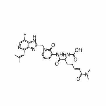 CC(C)=Cc1ncc(F)c2[nH]c(Cn3cccc(NC(=O)C(CC/C=C/C(=O)N(C)C)NC(=O)O)c3=O)nc12